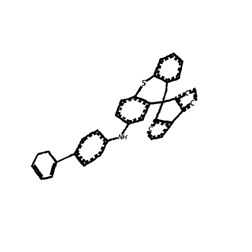 C1=CCCC(c2ccc(Nc3ccc4c(c3)C3(c5ccccc5S4)c4ccccc4-c4ccccc43)cc2)=C1